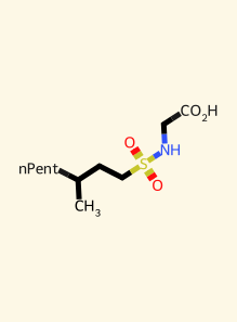 CCCCCC(C)CCS(=O)(=O)NCC(=O)O